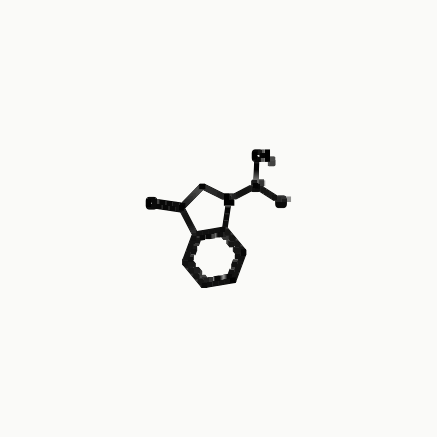 C[S+]([O-])N1CC(=O)c2ccccc21